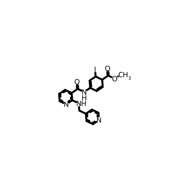 COC(=O)C1C=CC(NC(=O)c2cccnc2NCc2ccncc2)=CC1I